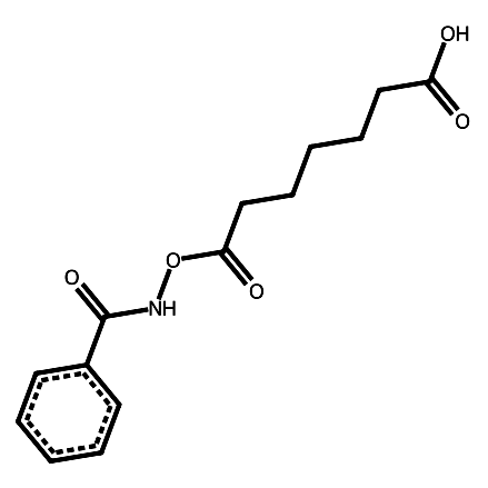 O=C(O)CCCCCC(=O)ONC(=O)c1ccccc1